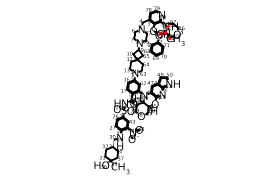 COc1c(CN2CCN(C3CC4(CCN(c5ccc(C(=O)NS(=O)(=O)c6ccc(NC[C@H]7CC[C@](C)(O)CC7)c([N+](=O)[O-])c6)c(N6c7cc8cc[nH]c8nc7O[C@H]7COCC[C@@H]76)c5)CC4)C3)[C@@H](c3ccccc3OC(C)C)C2)ccnc1N1CCOCC1